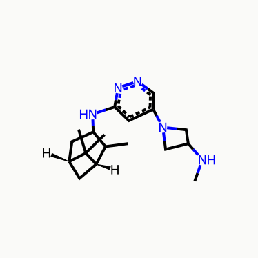 CNC1CN(c2cnnc(NC3C[C@H]4C[C@@H](C3C)C4(C)C)c2)C1